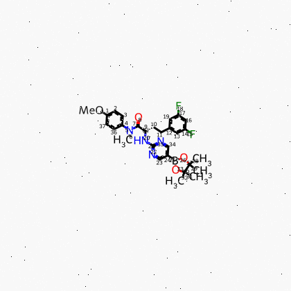 COc1ccc(N(C)C(=O)[C@H](CCc2cc(F)cc(F)c2)Nc2ncc(B3OC(C)(C)C(C)(C)O3)cn2)cc1